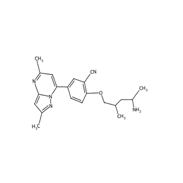 Cc1cc(-c2ccc(OCC(C)CC(C)N)c(C#N)c2)n2nc(C)cc2n1